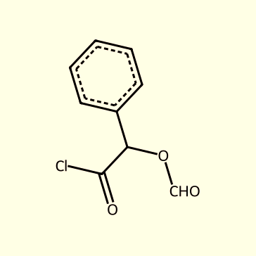 O=COC(C(=O)Cl)c1ccccc1